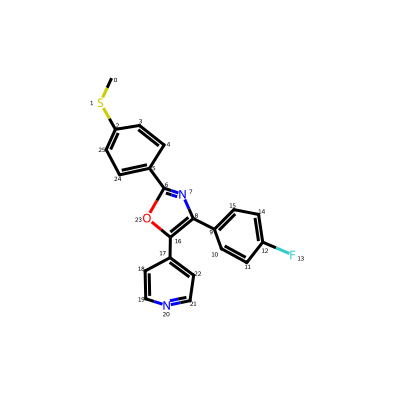 CSc1ccc(-c2nc(-c3ccc(F)cc3)c(-c3ccncc3)o2)cc1